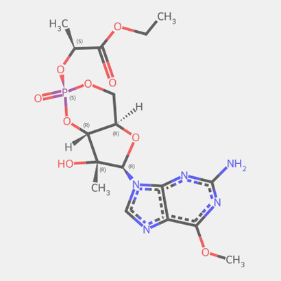 CCOC(=O)[C@H](C)O[P@@]1(=O)OC[C@H]2O[C@@H](n3cnc4c(OC)nc(N)nc43)[C@](C)(O)[C@@H]2O1